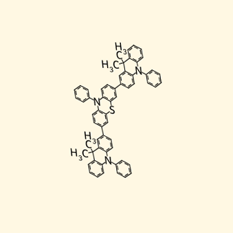 CC1(C)c2ccccc2N(c2ccccc2)c2ccc(-c3ccc4c(c3)Sc3cc(-c5ccc6c(c5)C(C)(C)c5ccccc5N6c5ccccc5)ccc3N4c3ccccc3)cc21